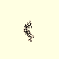 O=C(Nc1ccc(F)cc1F)c1cccc(S(=O)(=O)N2CCN(C(=O)C3CC3)CC2)c1